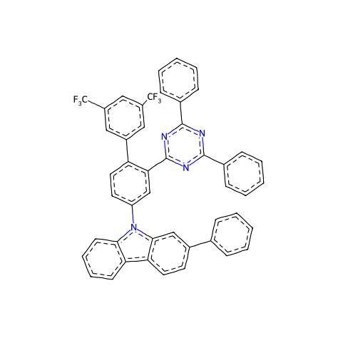 FC(F)(F)c1cc(-c2ccc(-n3c4ccccc4c4ccc(-c5ccccc5)cc43)cc2-c2nc(-c3ccccc3)nc(-c3ccccc3)n2)cc(C(F)(F)F)c1